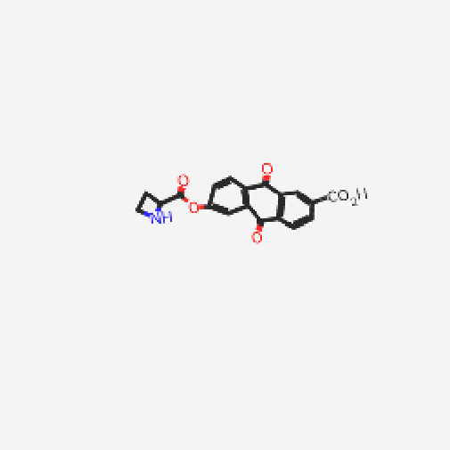 O=C(O)c1ccc2c(c1)C(=O)c1ccc(OC(=O)C3CCN3)cc1C2=O